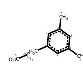 Cc1cc(C)cc(C)c1.O=CP